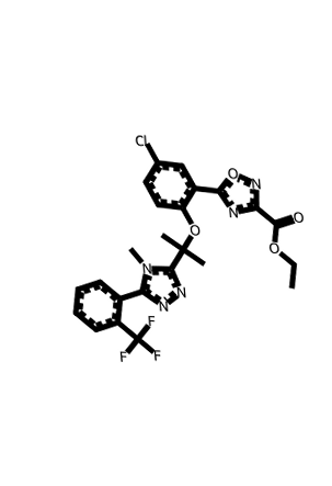 CCOC(=O)c1noc(-c2cc(Cl)ccc2OC(C)(C)c2nnc(-c3ccccc3C(F)(F)F)n2C)n1